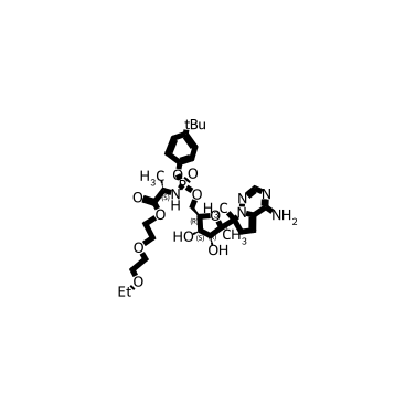 CCOCCOCCOC(=O)[C@H](C)NP(=O)(OC[C@H]1O[C@@](C)(C2(C)CC=C3C(N)=NC=NN32)[C@H](O)[C@@H]1O)Oc1ccc(C(C)(C)C)cc1